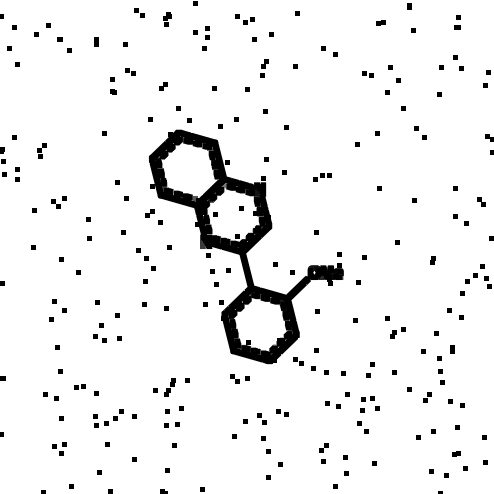 COc1ccccc1-c1cnc2ccccc2n1